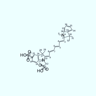 C[N+]1=C(/C=C/C=C/C=C/C=C2/N(CS(=O)(=O)O)c3ccc(S(=O)(=O)O)cc3C2(C)C)C(C)(C)c2ccccc21